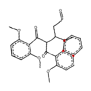 COc1cccc(OC)c1C(=O)C(C(=O)c1c(OC)cccc1OC)C(CP=O)c1ccccc1